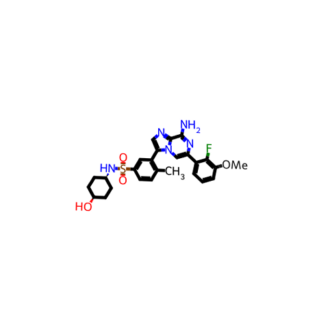 COc1cccc(-c2cn3c(-c4cc(S(=O)(=O)N[C@H]5CC[C@H](O)CC5)ccc4C)cnc3c(N)n2)c1F